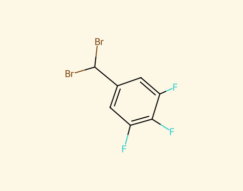 Fc1cc(C(Br)Br)cc(F)c1F